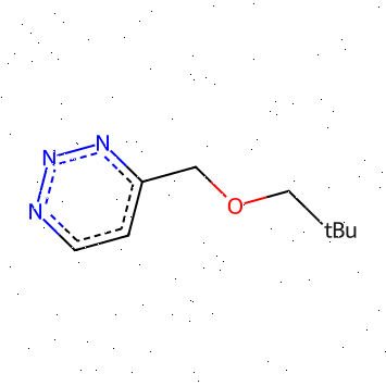 CC(C)(C)COCc1ccnnn1